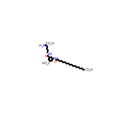 N[C@@H](CCCCNC(=O)c1cc(NC(=O)CCCCCCCCCCCCCCCCC(=O)O)cc(C(=O)O)c1)C(=O)O